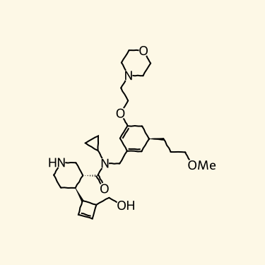 COCCC[C@H]1C=C(CN(C(=O)[C@H]2CNCC[C@@H]2C2C=CC2CO)C2CC2)C=C(OCCN2CCOCC2)C1